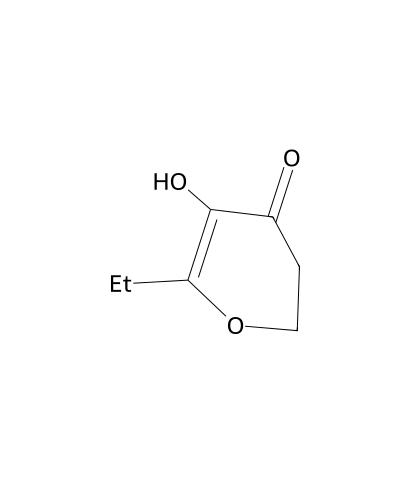 CCC1=C(O)C(=O)CCO1